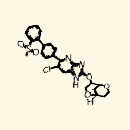 CS(=O)(=O)c1ccccc1-c1ccc(-c2nc3nc(OC4CO[C@@H]5CCOC4C5)[nH]c3cc2Cl)cc1